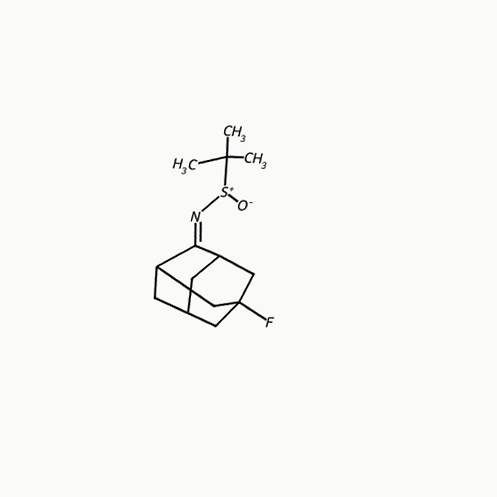 CC(C)(C)[S+]([O-])N=C1C2CC3CC1CC(F)(C3)C2